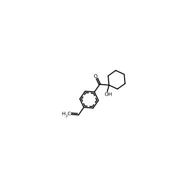 C=Cc1ccc(C(=O)C2(O)CCCCC2)cc1